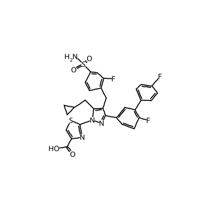 NS(=O)(=O)c1ccc(Cc2c(-c3ccc(F)c(-c4ccc(F)cc4)c3)nn(-c3nc(C(=O)O)cs3)c2CC2CC2)c(F)c1